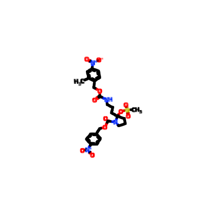 Cc1cc([N+](=O)[O-])ccc1COC(=O)NCCCC1(OS(C)(=O)=O)CCCN1C(=O)OCc1ccc([N+](=O)[O-])cc1